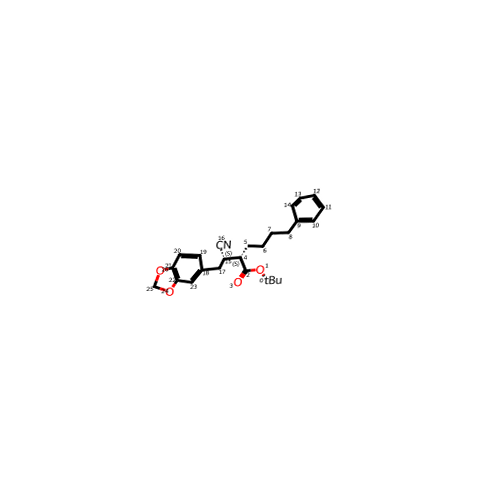 CC(C)(C)OC(=O)[C@@H](CCCCc1ccccc1)[C@@H](C#N)Cc1ccc2c(c1)OCO2